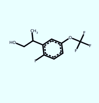 C[C](CO)c1cc(OC(F)(F)F)ccc1I